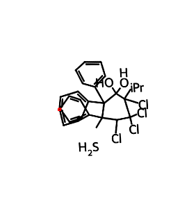 CC(C)C1(Cl)C(Cl)(Cl)C(Cl)C(C)(c2ccccc2)C(c2ccccc2)(c2ccccc2)C1(O)O.S